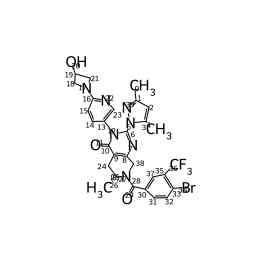 Cc1cc(C)n(-c2nc3c(c(=O)n2-c2ccc(N4CC(O)C4)nc2)C[C@@H](C)N(C(=O)c2ccc(Br)c(C(F)(F)F)c2)C3)n1